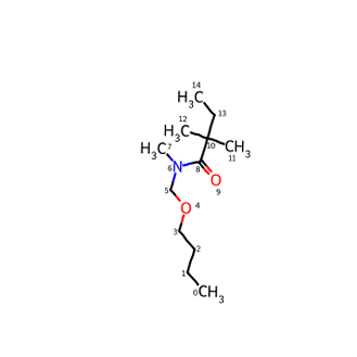 CCCCOCN(C)C(=O)C(C)(C)CC